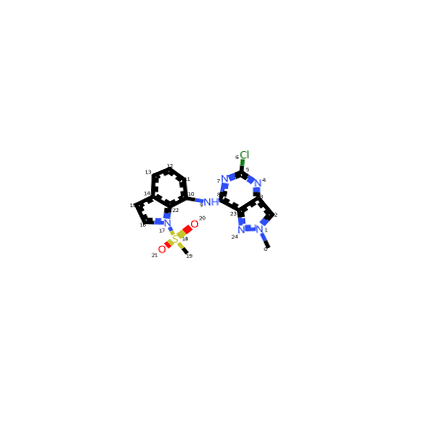 Cn1cc2nc(Cl)nc(Nc3cccc4ccn(S(C)(=O)=O)c34)c2n1